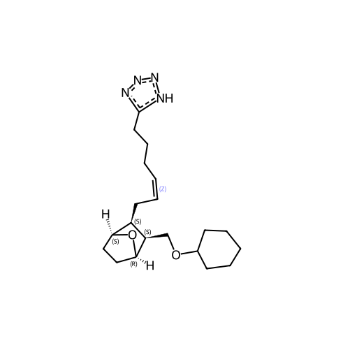 C(=C/C[C@H]1[C@@H](COC2CCCCC2)[C@H]2CC[C@@H]1O2)/CCCc1nnn[nH]1